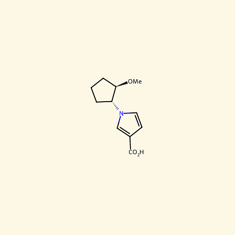 CO[C@@H]1CCC[C@H]1n1ccc(C(=O)O)c1